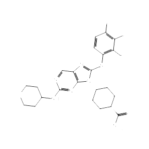 NC(=O)[C@H]1CC[C@H](n2c(Nc3ccc(Cl)c(Cl)c3F)nc3cnc(NC4CCOCC4)nc32)CC1